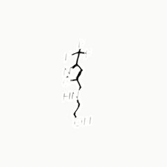 OCCNCc1cc(C(F)(F)F)no1